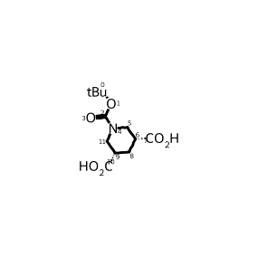 CC(C)(C)OC(=O)N1C[C@H](C(=O)O)C[C@H](C(=O)O)C1